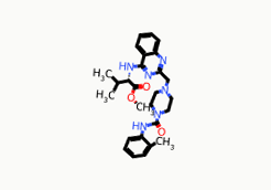 COC(=O)[C@@H](Nc1nc(CN2CCN(C(=O)Nc3ccccc3C)CC2)nc2ccccc12)C(C)C